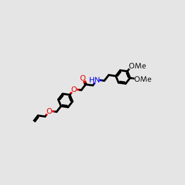 C=CCOCc1ccc(OCC(=O)CNCCc2ccc(OC)c(OC)c2)cc1